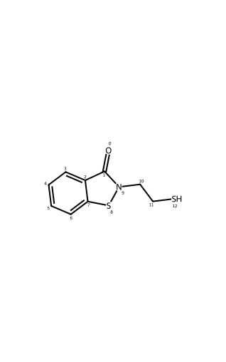 O=c1c2ccccc2sn1CCS